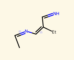 C/C=N\C=C(/C=N)CC